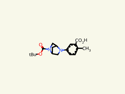 Cc1ccc(N2CC3CC2CN3C(=O)OC(C)(C)C)cc1C(=O)O